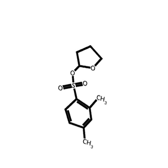 Cc1ccc(S(=O)(=O)OC2CCCO2)c(C)c1